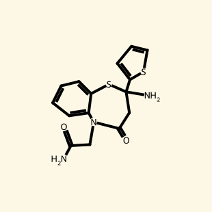 NC(=O)CN1C(=O)CC(N)(c2cccs2)Sc2ccccc21